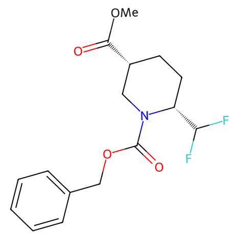 COC(=O)[C@@H]1CC[C@H](C(F)F)N(C(=O)OCc2ccccc2)C1